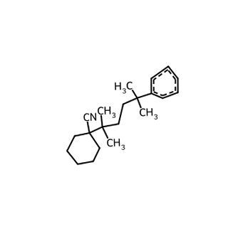 CC(C)(CCC(C)(C)C1(C#N)CCCCC1)c1ccccc1